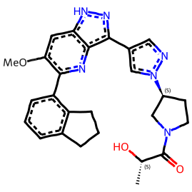 COc1cc2[nH]nc(-c3cnn([C@H]4CCN(C(=O)[C@H](C)O)C4)c3)c2nc1-c1cccc2c1CCC2